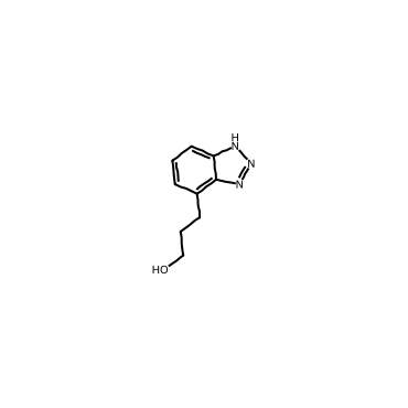 OCCCc1cccc2[nH]nnc12